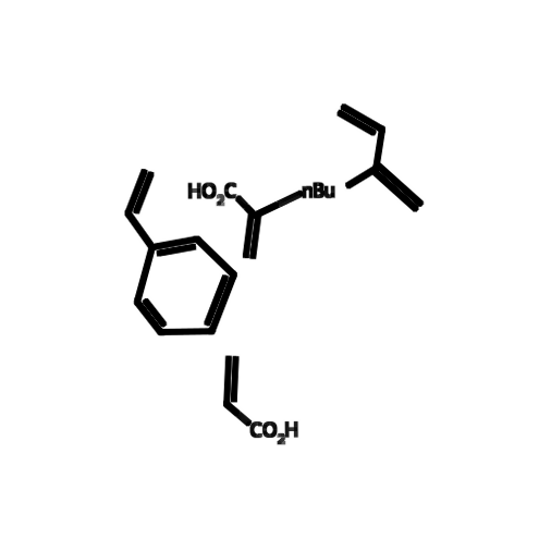 C=C(CCCC)C(=O)O.C=CC(=C)C.C=CC(=O)O.C=Cc1ccccc1